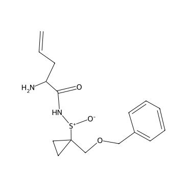 C=CCC(N)C(=O)N[S+]([O-])C1(COCc2ccccc2)CC1